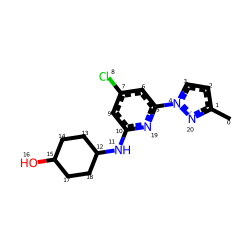 Cc1ccn(-c2cc(Cl)cc(NC3CCC(O)CC3)n2)n1